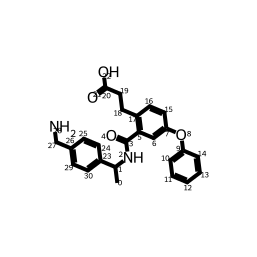 CC(NC(=O)c1cc(Oc2ccccc2)ccc1CCC(=O)O)c1ccc(CN)cc1